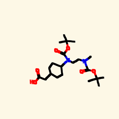 CN(CCN(C(=O)OC(C)(C)C)C1CCC(CC(=O)O)CC1)C(=O)OC(C)(C)C